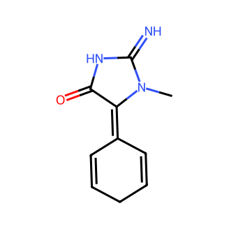 CN1C(=N)NC(=O)C1=C1C=CCC=C1